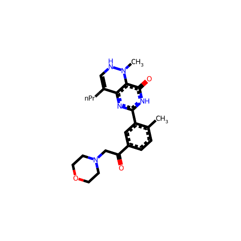 CCCC1=CNN(C)c2c1nc(-c1cc(C(=O)CN3CCOCC3)ccc1C)[nH]c2=O